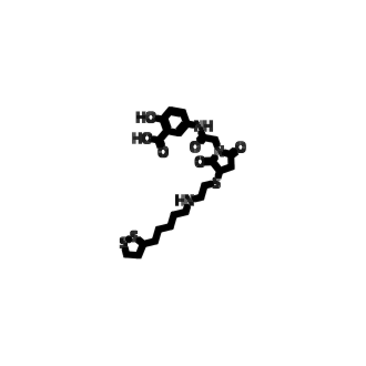 O=C(CN1C(=O)CC(SCCNCCCCCC2CCSS2)C1=O)Nc1ccc(O)c(C(=O)O)c1